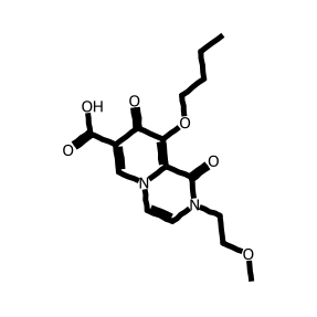 CCCCOc1c(=O)c(C(=O)O)cn2ccn(CCOC)c(=O)c12